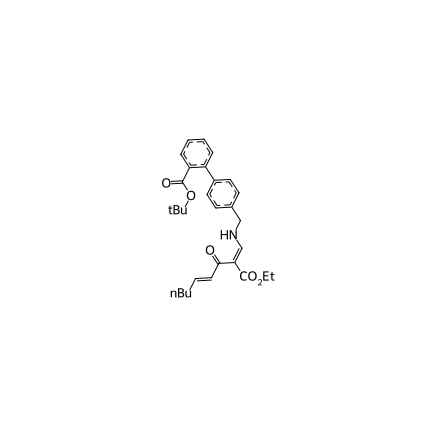 CCCCC=CC(=O)C(=CNCc1ccc(-c2ccccc2C(=O)OC(C)(C)C)cc1)C(=O)OCC